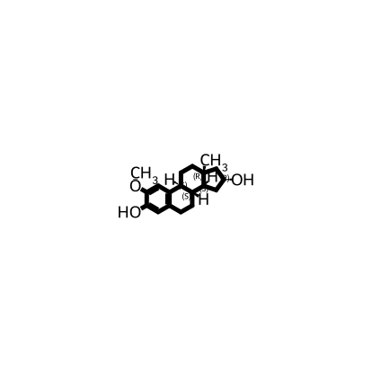 COc1cc2c(cc1O)CC[C@@H]1[C@@H]2CC[C@]2(C)C[C@H](O)C[C@@H]12